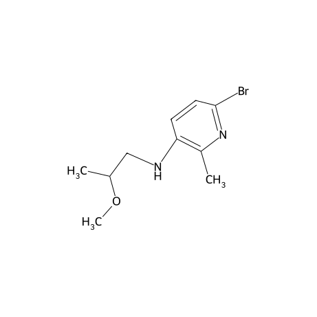 COC(C)CNc1ccc(Br)nc1C